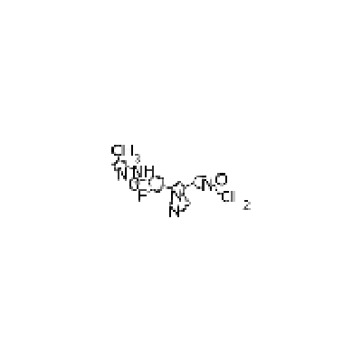 C=CC(=O)N1CCC(c2cc(-c3ccc(C(=O)Nc4cc(C)ccn4)c(F)c3)n3cnccc23)C1